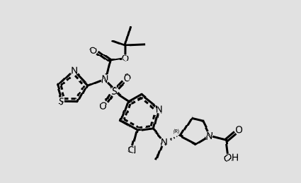 CN(c1ncc(S(=O)(=O)N(C(=O)OC(C)(C)C)c2cscn2)cc1Cl)[C@@H]1CCN(C(=O)O)C1